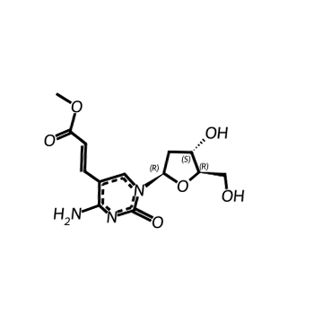 COC(=O)C=Cc1cn([C@H]2C[C@H](O)[C@@H](CO)O2)c(=O)nc1N